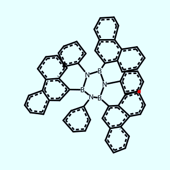 c1ccc(N2B(c3cc4ccccc4c4ccccc34)N(c3ccccc3)B(c3cc4ccccc4c4ccccc34)N(c3ccccc3)B2c2cc3ccccc3c3ccccc23)cc1